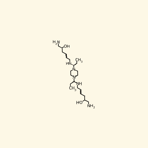 CCC(NC/C=C/CC(O)CN)N1CCN(C(CC)NC/C=C/CC(O)CN)CC1